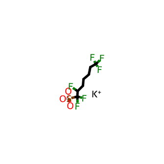 O=S(=O)([O-])C(F)(F)C(F)CCCCC(F)(F)F.[K+]